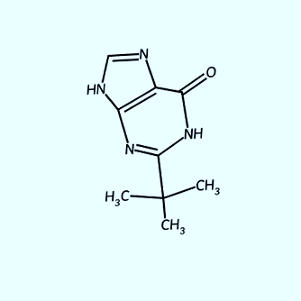 CC(C)(C)c1nc2[nH]cnc2c(=O)[nH]1